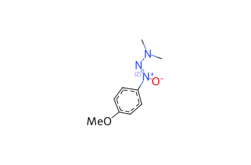 COc1ccc(/[N+]([O-])=N/N(C)C)cc1